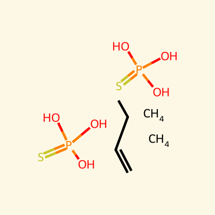 C.C.C=CCC.OP(O)(O)=S.OP(O)(O)=S